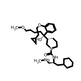 CNC[C@H](CC1CCCCC1)NC(=O)N1CCC[C@@H]([C@@](O)(CCCCOC)c2ccccc2OCCC2CC2)C1